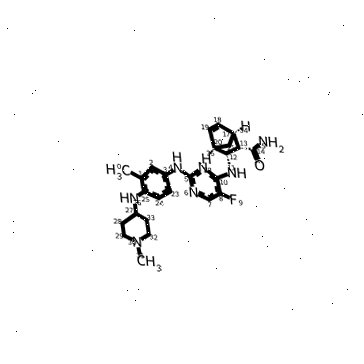 Cc1cc(Nc2ncc(F)c(N[C@H]3[C@@H](C(N)=O)[C@@H]4C=C[C@H]3C4)n2)ccc1NC1CCN(C)CC1